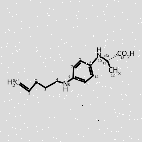 C=CCCCNc1ccc(N[C@@H](C)C(=O)O)cc1